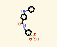 O=C(N=Nc1ccc(S(=O)(=O)O)cc1)c1ccc(Nc2ccccc2)cc1